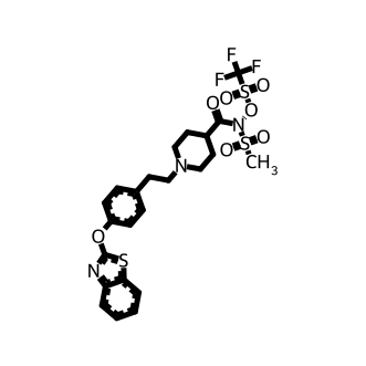 CS(=O)(=O)N(OS(=O)(=O)C(F)(F)F)C(=O)C1CCN(CCc2ccc(Oc3nc4ccccc4s3)cc2)CC1